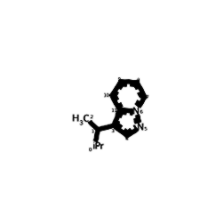 CC(C)C(C)c1cnn2ccccc12